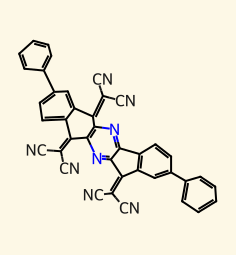 N#CC(C#N)=C1c2cc(-c3ccccc3)ccc2-c2nc3c(=C(C#N)C#N)c4cc(-c5ccccc5)ccc4c(=C(C#N)C#N)c3nc21